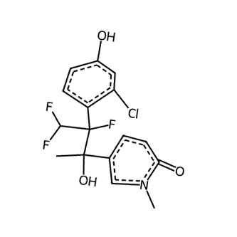 Cn1cc(C(C)(O)C(F)(c2ccc(O)cc2Cl)C(F)F)ccc1=O